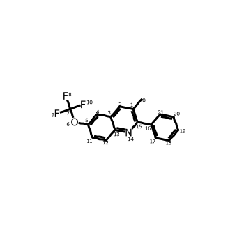 Cc1cc2cc(OC(F)(F)F)ccc2nc1-c1ccccc1